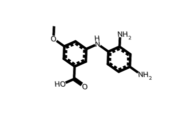 COc1cc(Nc2ccc(N)cc2N)cc(C(=O)O)c1